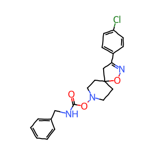 O=C(NCc1ccccc1)ON1CCC2(CC1)CC(c1ccc(Cl)cc1)=NO2